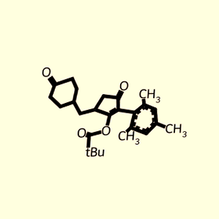 Cc1cc(C)c(C2=C(OC(=O)C(C)(C)C)C(CC3CCC(=O)CC3)CC2=O)c(C)c1